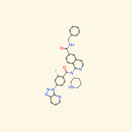 O=C(NCc1ccccc1)c1ccc2c(N(C(=O)c3ccc(-n4nnc5cccnc54)cc3F)[C@@H]3CCCNC3)nccc2c1